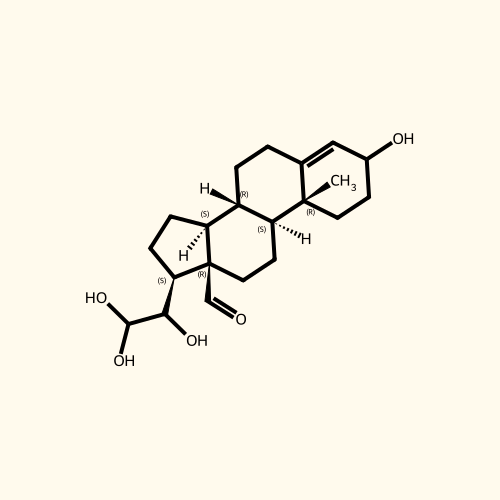 C[C@]12CCC(O)C=C1CC[C@H]1[C@@H]3CC[C@H](C(O)C(O)O)[C@@]3(C=O)CC[C@@H]12